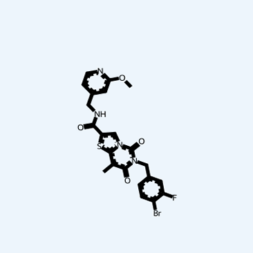 COc1cc(CNC(=O)c2cn3c(=O)n(Cc4ccc(Br)c(F)c4)c(=O)c(C)c3s2)ccn1